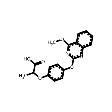 COc1nc(Oc2ccc(OC(C)C(=O)O)cc2)nc2ccccc12